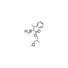 BC(C(=O)OCC(C)COC)C(C)c1ccccc1